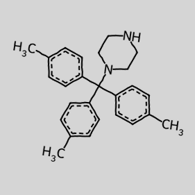 Cc1ccc(C(c2ccc(C)cc2)(c2ccc(C)cc2)N2CCNCC2)cc1